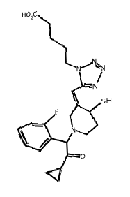 O=C(O)CCCCn1nnnc1/C=C1/CN(C(C(=O)C2CC2)c2ccccc2F)CCC1S